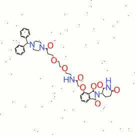 O=C(COc1cccc2c1C(=O)N(C1CCC(=O)NC1=O)C2=O)NCCOCCOCCC(=O)N1CCN(C(c2ccccc2)c2ccccc2)CC1